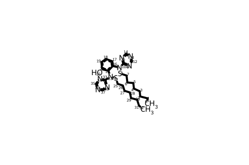 CCCCCCCCSN(c1ncncn1)c1cccc(O)c1N(SCCCCCCCC)c1ncncn1